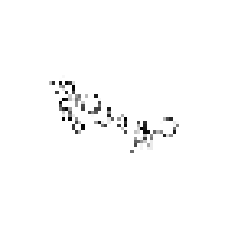 COC(=O)[C@H]1c2ccc(OCc3nn(-c4ccccc4)nc3C)cc2CCN1C(=O)OC(C)(C)C